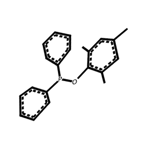 Cc1cc(C)c(OP(c2ccccc2)c2ccccc2)c(C)c1